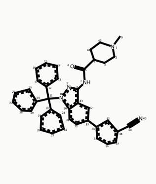 CN1CCC(C(=O)Nc2nn(C(c3ccccc3)(c3ccccc3)c3ccccc3)c3ccc(-c4cccc(C#N)c4)cc23)CC1